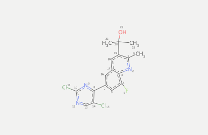 Cc1nc2c(F)cc(-c3nc(Cl)ncc3Cl)cc2cc1C(C)(C)O